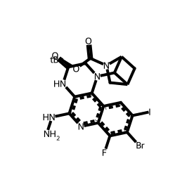 CC(C)(C)OC(=O)N1CC2CC1C2N1CC(=O)Nc2c(NN)nc3c(F)c(Br)c(I)cc3c21